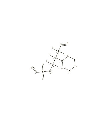 C=C[Si](C)(C)OC(C)(C)C(C)(C1CCCCC1)[Si](C)(C)C=C